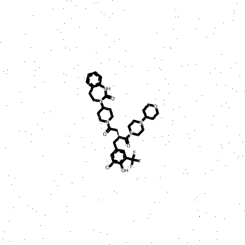 O=C(C[C@H](Cc1cc(Cl)c(O)c(C(F)(F)F)c1)C(=O)N1CCN(C2CCOCC2)CC1)N1CCC(N2CCc3ccccc3NC2=O)CC1